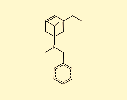 CCC1=CC2(N(C)Cc3ccccc3)CC(=C1)C2C